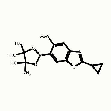 COc1cc2nc(C3CC3)oc2cc1B1OC(C)(C)C(C)(C)O1